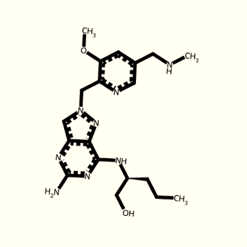 CCC[C@@H](CO)Nc1nc(N)nc2cn(Cc3ncc(CNC)cc3OC)nc12